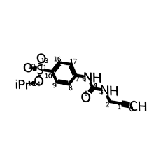 C#CCNC(=O)Nc1ccc(S(=O)(=O)OC(C)C)cc1